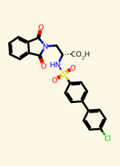 O=C(O)[C@@H](CN1C(=O)c2ccccc2C1=O)NS(=O)(=O)c1ccc(-c2ccc(Cl)cc2)cc1